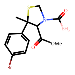 BC(=O)N1CSC(C)(c2ccc(Br)cc2)C1C(=O)OC